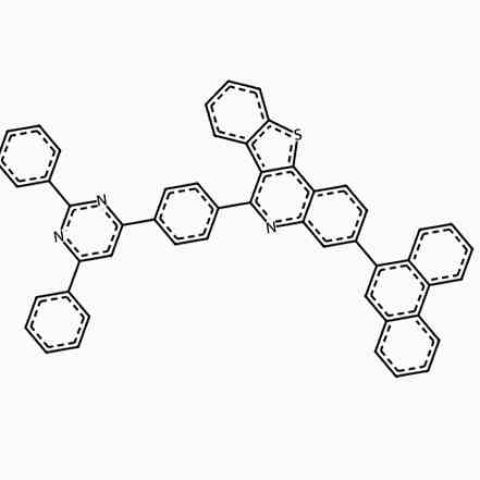 c1ccc(-c2cc(-c3ccc(-c4nc5cc(-c6cc7ccccc7c7ccccc67)ccc5c5sc6ccccc6c45)cc3)nc(-c3ccccc3)n2)cc1